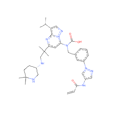 C=CC(=O)Nc1cnn(-c2cccc(CN(C(=O)O)c3cc(C(C)(C)CN[C@H]4CCC(C)(C)NC4)nc4c(C(C)C)cnn34)c2)c1